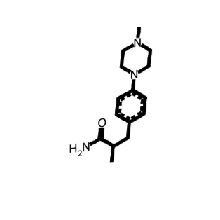 CC(Cc1ccc(N2CCN(C)CC2)cc1)C(N)=O